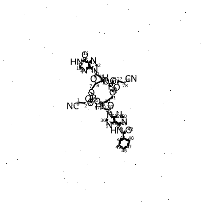 N#CCCOP1(=O)OCC2OC(n3cnc4c(=O)[nH]cnc43)C[C@@H]2OP(=O)(OCCC#N)OCC2OC(n3cnc4c(NC(=O)c5ccccc5)ncnc43)C[C@@H]2O1